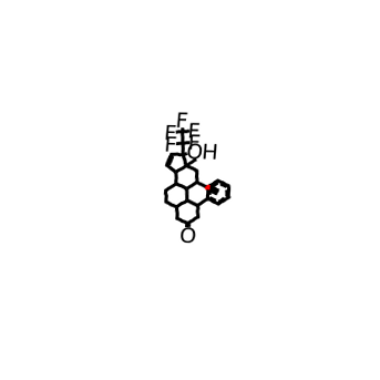 C#CC1CC2(C)C(C=CC2(O)C(F)(F)C(F)(F)F)C2CCC3CC(=O)CC(c4ccccc4)C3C12